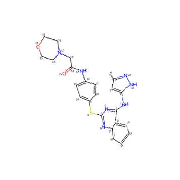 Cc1cc(Nc2nc(Sc3ccc(NC(=O)CN4CCOCC4)cc3)nc3ccccc23)[nH]n1